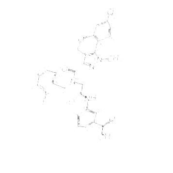 Cn1nc(C(=O)N(CC(=O)Nc2cccc(C(=O)O)c2)Cc2ccccc2F)c2c1-c1ccc(Cl)cc1OC2